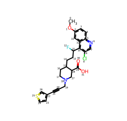 COc1ccc2ncc(Cl)c(C(F)CCC3CCN(CC#Cc4ccsc4)CC3C(=O)O)c2c1